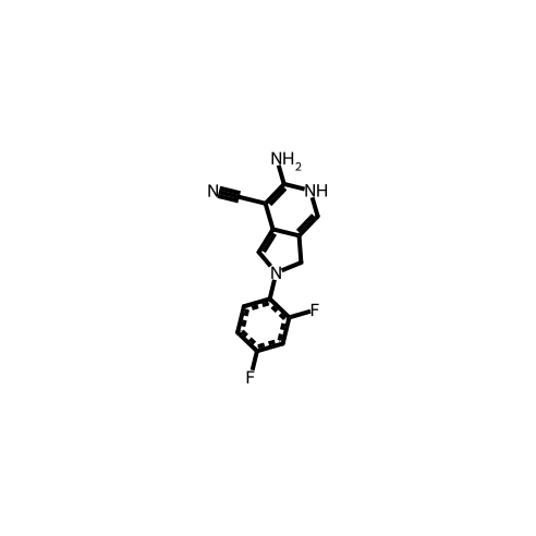 N#CC1=C(N)NC=C2CN(c3ccc(F)cc3F)C=C21